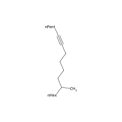 [CH2]CCCCC#CCCCCC(C)CCCCC[CH2]